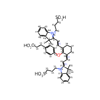 CC1(C)C(/C=C/C2=C(Oc3ccc(CCC(=O)O)cc3)C(=C\C=C3\N(CCCS(=O)(=O)O)c4ccccc4C3(C)C)/CCC2)=[N+](CCCS(=O)(=O)O)c2ccccc21